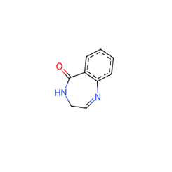 O=C1NCC=Nc2ccccc21